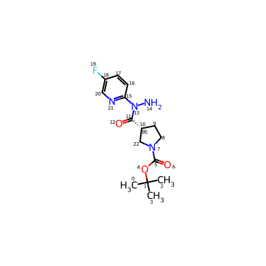 CC(C)(C)OC(=O)N1CC[C@@H](C(=O)N(N)c2ccc(F)cn2)C1